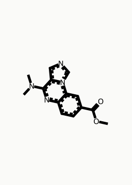 COC(=O)c1ccc2nc(N(C)C)c3cncn3c2c1